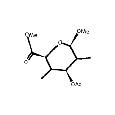 COC(=O)[C@H]1O[C@@H](OC)C(C)[C@@H](OC(C)=O)C1C